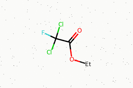 CCOC(=O)C(F)(Cl)Cl